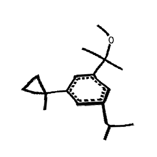 COC(C)(C)c1cc(C(C)C)cc(C2(C)CC2)c1